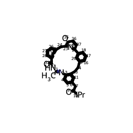 C/C1=N\c2ccc(CC(=O)C(C)C)cc2CCc2cccc(c2)C2=NC(Cc3cccc(c3)C(=O)N1)C(=O)C=C2